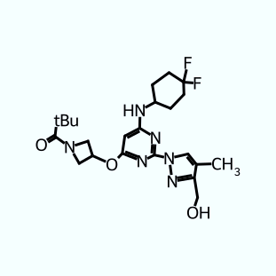 Cc1cn(-c2nc(NC3CCC(F)(F)CC3)cc(OC3CN(C(=O)C(C)(C)C)C3)n2)nc1CO